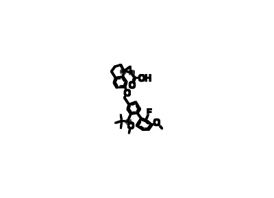 COc1cccc(-c2ccc(COc3ccc4c(c3)[C@]3(CCC4)C[C@H]3C(=O)O)cc2[C@@H](OC)C(C)(C)C)c1F